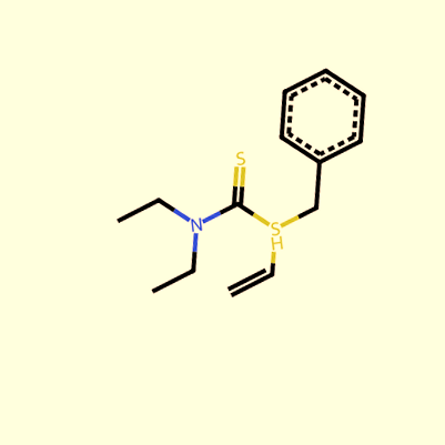 C=C[SH](Cc1ccccc1)C(=S)N(CC)CC